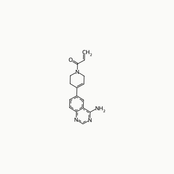 C=CC(=O)N1CC=C(c2ccc3ncnc(N)c3c2)CC1